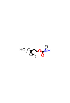 C=C(CCOC(=O)NCC)C(=O)O